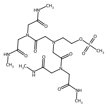 CNC(=O)CN(CC(=O)NC)C(=O)CN(CCOS(C)(=O)=O)CC(=O)N(CC(=O)NC)CC(=O)NC